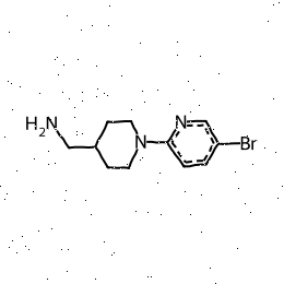 NCC1CCN(c2ccc(Br)cn2)CC1